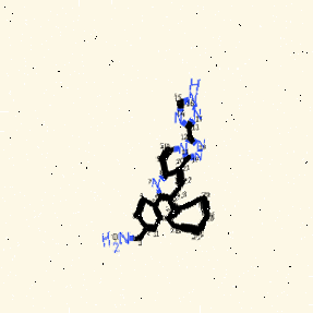 NCc1ccc(-c2nc3ccn4c(-c5nc[nH]n5)nnc4c3cc2-c2ccccc2)cc1